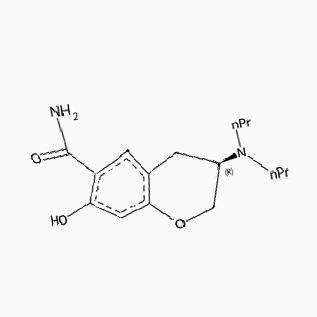 CCCN(CCC)[C@H]1COc2cc(O)c(C(N)=O)cc2C1